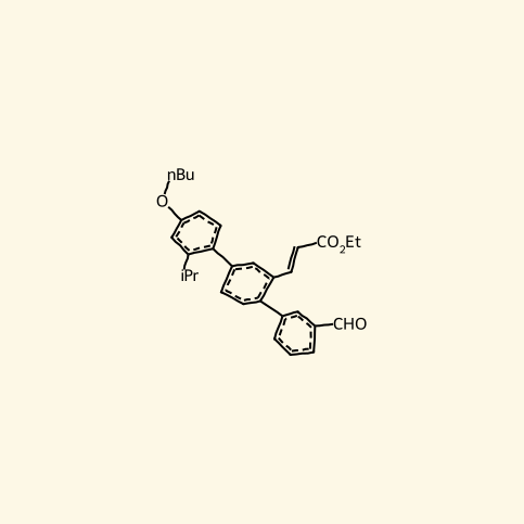 CCCCOc1ccc(-c2ccc(-c3cccc(C=O)c3)c(/C=C/C(=O)OCC)c2)c(C(C)C)c1